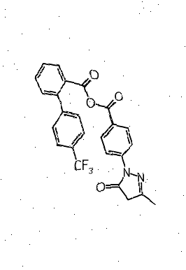 CC1=NN(c2ccc(C(=O)OC(=O)c3ccccc3-c3ccc(C(F)(F)F)cc3)cc2)C(=O)C1